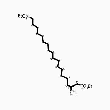 CCOC(=O)CCCCCCCCCCCCCCCCC(C)CC(=O)OCC